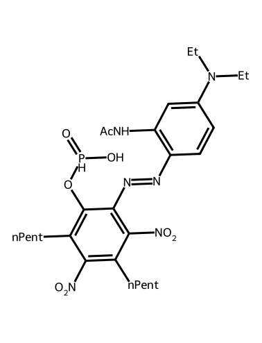 CCCCCc1c(O[PH](=O)O)c(N=Nc2ccc(N(CC)CC)cc2NC(C)=O)c([N+](=O)[O-])c(CCCCC)c1[N+](=O)[O-]